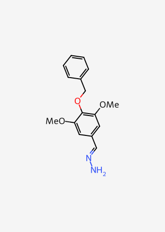 COc1cc(C=NN)cc(OC)c1OCc1ccccc1